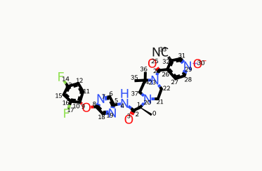 C[C@@H](C(=O)Nc1cnc(Oc2ccc(F)cc2F)cn1)N1CCN(C(=O)c2cc[n+]([O-])cc2C#N)C(C)(C)C1